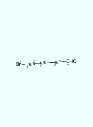 O=CC#CC#CC#CBr